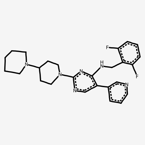 Fc1cccc(F)c1CNc1nc(N2CCC(N3CCCCC3)CC2)ncc1-c1cccnc1